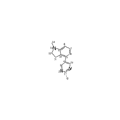 Cc1ncc(-c2cccc3c2CCN3C)cn1